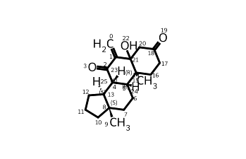 C=C1C(=O)[C@@H]2[C@@H](CC[C@]3(C)CCC[C@@H]23)[C@@]2(C)CCC(=O)CC12O